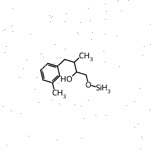 Cc1cccc(CC(C)C(O)CO[SiH3])c1